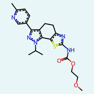 COCCOC(=O)Nc1nc2c(s1)-c1c(c(-c3ccc(C)nc3)nn1C(C)C)CC2